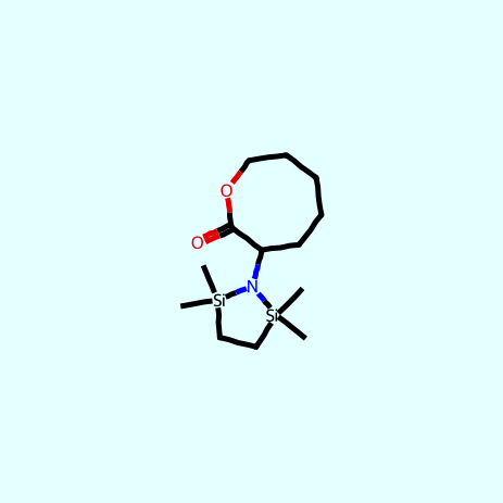 C[Si]1(C)CC[Si](C)(C)N1C1CCCCCOC1=O